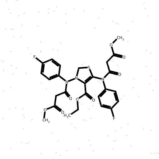 CCOC(=O)C1=C(N(C(=O)CC(=O)OC)c2ccc(F)cc2)SCN1N(C(=O)CC(=O)OC)c1ccc(F)cc1